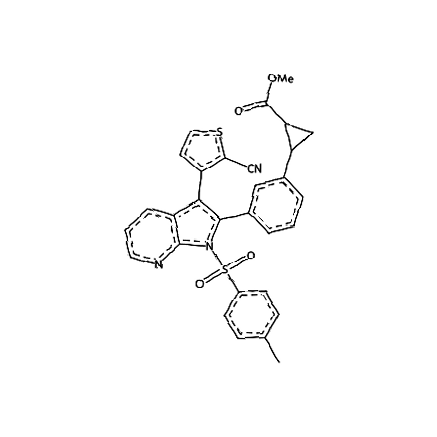 COC(=O)C1CC1c1cccc(-c2c(-c3ccsc3C#N)c3cccnc3n2S(=O)(=O)c2ccc(C)cc2)c1